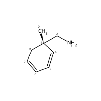 C[C@@]1(CN)C=CC=CC1